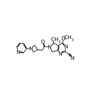 COc1nc(C#N)nc2c1C(C)N(C(=O)CC1CN(c3cccnc3)C1)C2